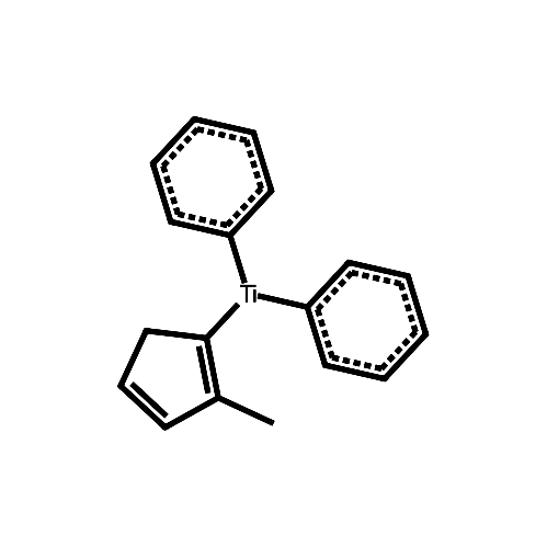 CC1=[C]([Ti]([c]2ccccc2)[c]2ccccc2)CC=C1